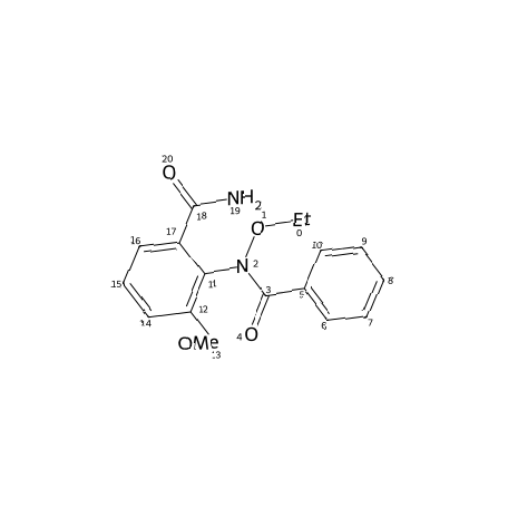 CCON(C(=O)c1ccccc1)c1c(OC)cccc1C(N)=O